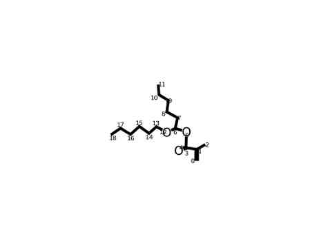 C=C(C)C(=O)OC(CCCCC)OCCCCCC